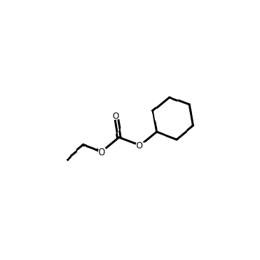 CCOC(=O)OC1CCCCC1